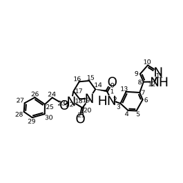 O=C(Nc1cccc(-c2ccn[nH]2)c1)[C@@H]1CCC2CN1C(=O)N2OCc1ccccc1